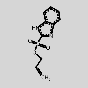 C=CCOS(=O)(=O)c1nc2ccccc2[nH]1